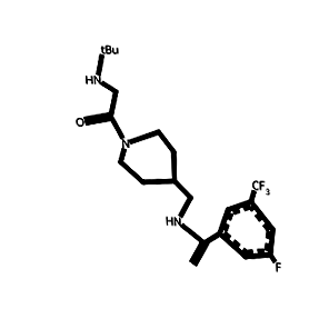 C=C(NCC1CCN(C(=O)CNC(C)(C)C)CC1)c1cc(F)cc(C(F)(F)F)c1